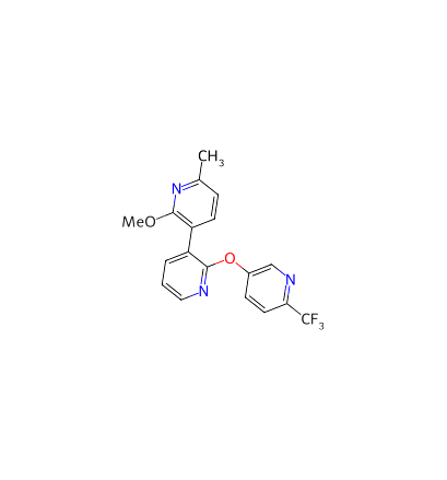 COc1nc(C)ccc1-c1cccnc1Oc1ccc(C(F)(F)F)nc1